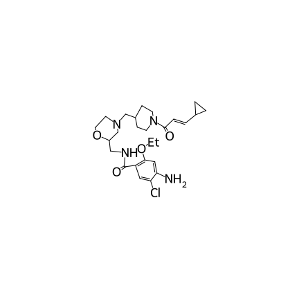 CCOc1cc(N)c(Cl)cc1C(=O)NCC1CN(CC2CCN(C(=O)/C=C/C3CC3)CC2)CCO1